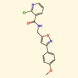 COc1ccc(-c2cc(CNC(=O)c3cccnc3Cl)on2)cc1